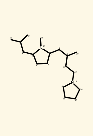 CC(C)CC1CCC(CC(C)CCN2CCCC2)N1C